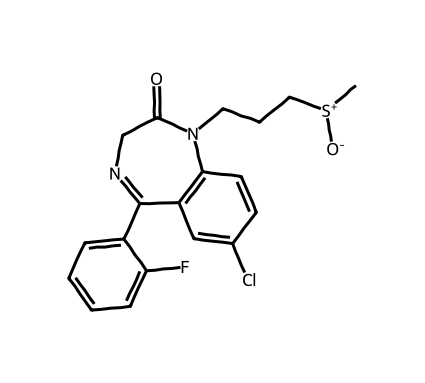 C[S+]([O-])CCCN1C(=O)CN=C(c2ccccc2F)c2cc(Cl)ccc21